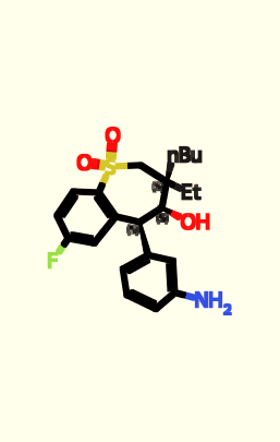 CCCC[C@]1(CC)CS(=O)(=O)c2ccc(F)cc2[C@H](c2cccc(N)c2)[C@@H]1O